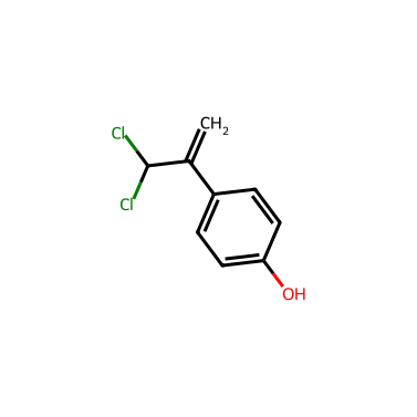 C=C(c1ccc(O)cc1)C(Cl)Cl